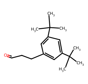 CC(C)(C)c1cc(CCC=O)cc(C(C)(C)C)c1